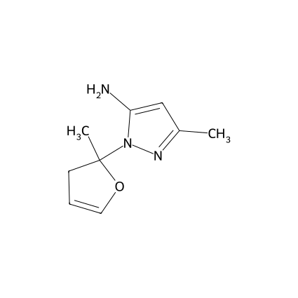 Cc1cc(N)n(C2(C)CC=CO2)n1